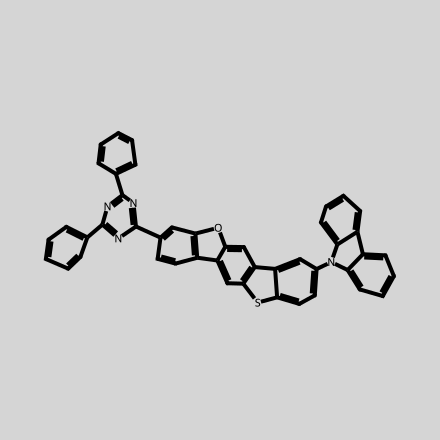 c1ccc(-c2nc(-c3ccccc3)nc(-c3ccc4c(c3)oc3cc5c(cc34)sc3ccc(-n4c6ccccc6c6ccccc64)cc35)n2)cc1